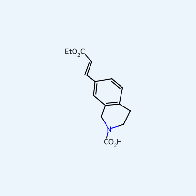 CCOC(=O)/C=C/c1ccc2c(c1)CN(C(=O)O)CC2